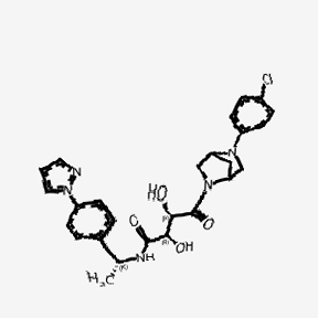 C[C@@H](NC(=O)[C@H](O)[C@@H](O)C(=O)N1CC2CC1CN2c1ccc(Cl)cc1)c1ccc(-n2cccn2)cc1